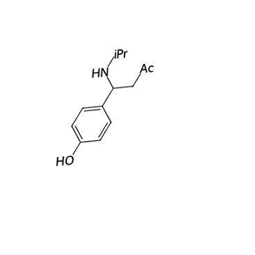 CC(=O)CC(NC(C)C)c1ccc(O)cc1